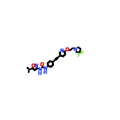 CC(C)c1cc(NC(=O)Nc2ccc(C#Cc3ccc(OCCN4CCC(F)(F)C4)nc3)cc2)no1